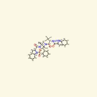 CC(C)(C)[C@H](NC(=O)c1cc2ccccc2[nH]1)C(=O)N1C[C@H]2N(C(=O)c3cc4ccccc4n3S(=O)(=O)c3ccccc3)CC21C